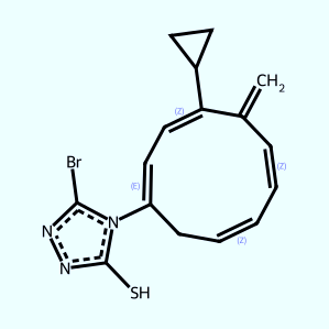 C=C1/C=C\C=C/C/C(n2c(S)nnc2Br)=C\C=C/1C1CC1